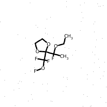 CCOC(C)(F)C1(C(F)(F)OF)OCCO1